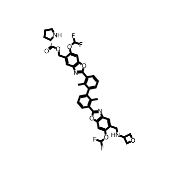 Cc1c(-c2nc3cc(CNC4COC4)c(OC(F)F)cc3o2)cccc1-c1cccc(-c2nc3cc(COC(=O)[C@@H]4CCCN4)c(OC(F)F)cc3o2)c1C